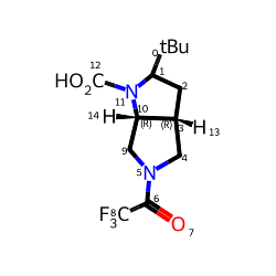 CC(C)(C)C1C[C@@H]2CN(C(=O)C(F)(F)F)C[C@@H]2N1C(=O)O